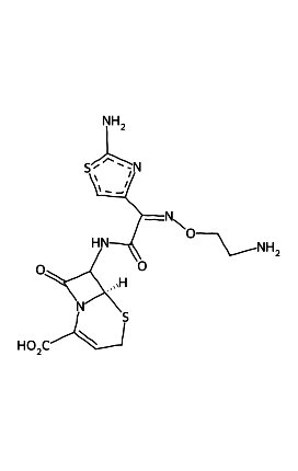 NCCO/N=C(\C(=O)NC1C(=O)N2C(C(=O)O)=CCS[C@H]12)c1csc(N)n1